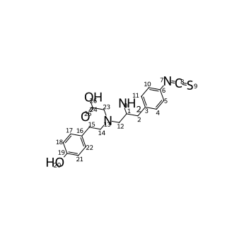 NC(Cc1ccc(N=C=S)cc1)CN(CCc1ccc(O)cc1)CC(=O)O